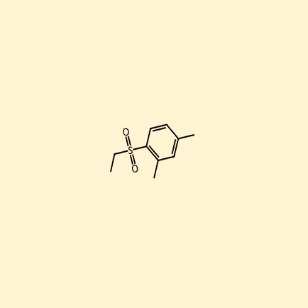 CCS(=O)(=O)c1ccc(C)cc1C